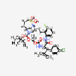 COC(=O)N[C@H](C(=O)Nc1cccc(F)c1CCC1CN(C(=O)OC(C)(C)C)C2CCCS(=O)(=O)N1C2)[C@@H](c1ccc(Cl)cc1)C(C)C